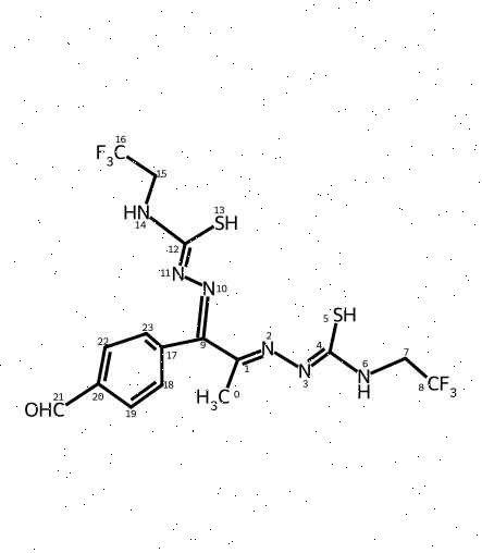 CC(=N\N=C(/S)NCC(F)(F)F)/C(=N/N=C(\S)NCC(F)(F)F)c1ccc(C=O)cc1